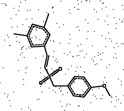 COc1ccc(CS(=O)(=O)C=Cc2cc(C)cc(C)c2)cc1